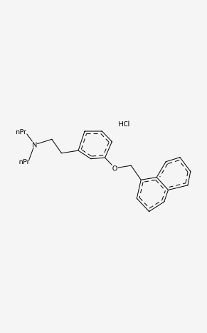 CCCN(CCC)CCc1cccc(OCc2cccc3ccccc23)c1.Cl